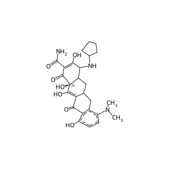 CN(C)c1ccc(O)c2c1CC1CC3C(NC4CCCC4)C(O)=C(C(N)=O)C(=O)[C@@]3(O)C(O)=C1C2=O